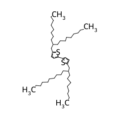 CCCCCCCCCCC(CCCCCCCC)Cc1ccc(-c2ccc(CC(CCCCCCCC)CCCCCCCCCC)s2)s1